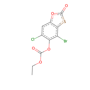 CCOC(=O)Oc1c(Cl)cc2oc(=O)sc2c1Br